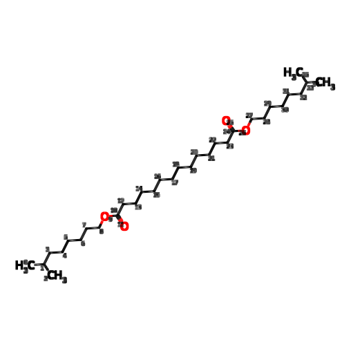 CC(C)CCCCCCOC(=O)CCCCCCCCCCCCC(=O)OCCCCCCC(C)C